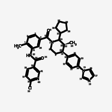 Cc1ccc(C(=O)N2CC[C@H](c3ccc(-n4ccnc4)cc3)[C@@H](C)C2C2CCCC2)cc1NC(=O)c1ccc(Cl)nc1